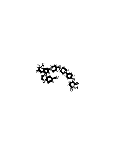 Cc1cc2c(N3CCN(C)c4ccc(C#N)cc43)cc(N3CCC(CN4CCN(c5ccc(OC6CCC(=O)NC6=O)cc5)CC4)CC3)cc2n(C)c1=O